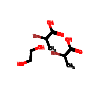 CC(Br)C(=O)O.CC(Br)C(=O)O.OCCO